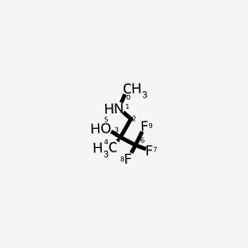 CNC[C@@](C)(O)C(F)(F)F